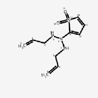 C=CCPN(PCC=C)C1=CC=CS1(=O)=O